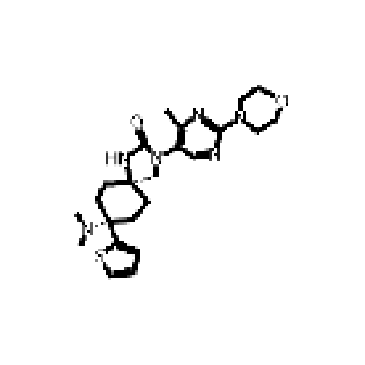 Cc1nc(N2CCOCC2)ncc1N1C[C@]2(CC[C@@](c3cccs3)(N(C)C)CC2)NC1=O